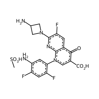 CS(=O)(=O)O.Nc1cc(-n2cc(C(=O)O)c(=O)c3cc(F)c(N4CC(N)C4)nc32)c(F)cc1F